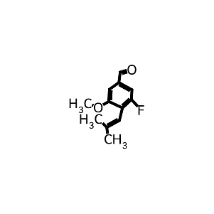 COc1cc(C=O)cc(F)c1C=C(C)C